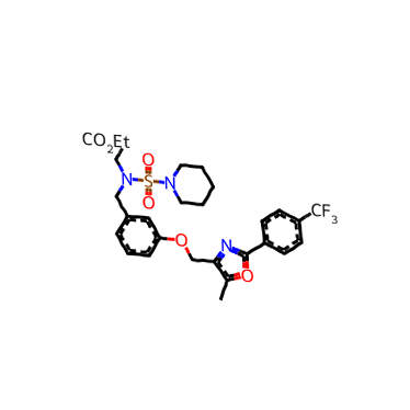 CCOC(=O)CN(Cc1cccc(OCc2nc(-c3ccc(C(F)(F)F)cc3)oc2C)c1)S(=O)(=O)N1CCCCC1